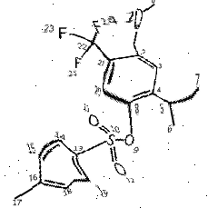 COc1cc(C(C)C)c(OS(=O)(=O)c2ccc(C)cc2)cc1C(F)(F)F